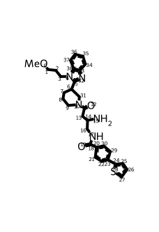 COCCCn1c(C2CCCN(C(=O)CC(N)CNC(=O)c3ccc(-c4cccs4)cc3)C2)nc2ccccc21